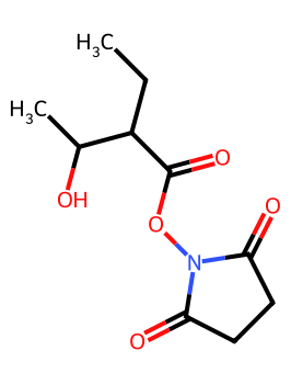 CCC(C(=O)ON1C(=O)CCC1=O)C(C)O